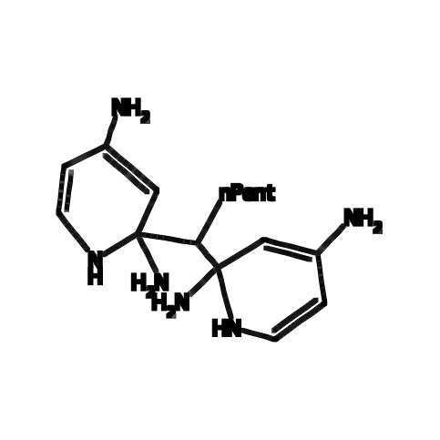 CCCCCC(C1(N)C=C(N)C=CN1)C1(N)C=C(N)C=CN1